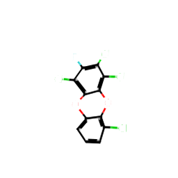 Fc1c(Cl)c(Cl)c2c(c1Cl)Oc1cccc(Cl)c1O2